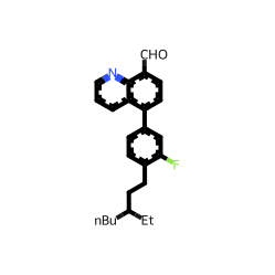 CCCCC(CC)CCc1ccc(-c2ccc(C=O)c3ncccc23)cc1F